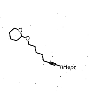 CCCCCCCC#CCCCCCOC1CCCCO1